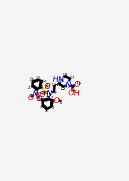 COc1ccccc1N(CC[C@@H]1CN(C(=O)O)CCN1)S(=O)(=O)c1ccccc1[N+](=O)[O-]